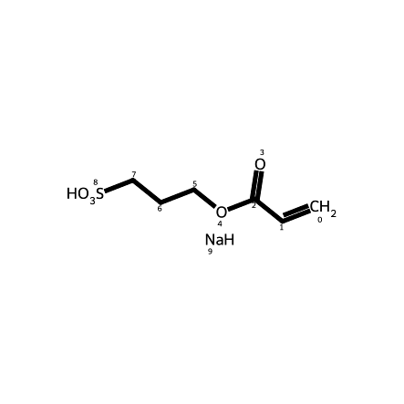 C=CC(=O)OCCCS(=O)(=O)O.[NaH]